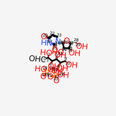 O=CC(O)C(O)C(O)C(O)CO.O=P(O)(O)OP(=O)(O)O.O=c1ccn([C@@H]2O[C@H](CO)[C@@H](O)[C@H]2O)c(=O)[nH]1